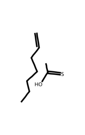 C=CCCCCC.CC(O)=S